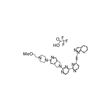 COCCN1CCN(c2cc3c(cn2)CN(c2nccc(-c4nccc(C#Cn5ncc6ccccc65)n4)n2)C3)CC1.O=C(O)C(F)(F)F